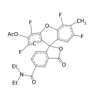 CCN(CC)C(=O)c1ccc2c(c1)C(=O)OC21c2cc(F)c(C)c(F)c2Oc2c1cc(F)c(OC(C)=O)c2F